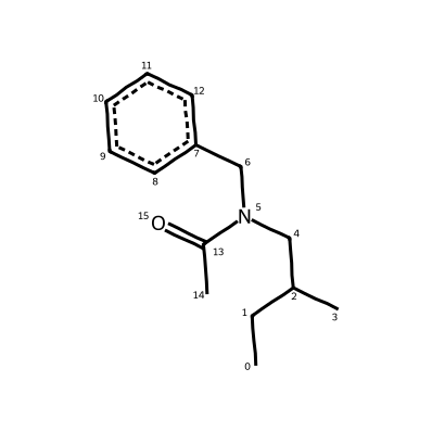 CCC(C)CN(Cc1ccccc1)C(C)=O